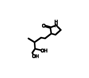 CC(CCC1CCNC1=O)C(O)CO